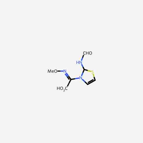 CON=C(C(=O)O)N1C=CSC1NC=O